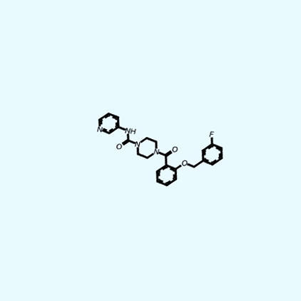 O=C(Nc1cccnc1)N1CCN(C(=O)c2ccccc2OCc2cccc(F)c2)CC1